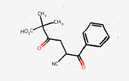 CC(C)(C(=O)O)C(=O)CC(C#N)C(=O)c1ccccc1